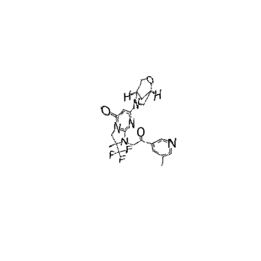 Cc1cncc(C(=O)CN2c3nc(N4C[C@@H]5C[C@H]4CO5)cc(=O)n3C[C@@]2(C)C(F)(F)F)c1